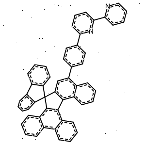 c1ccc(-c2cccc(-c3ccc(-c4cc5c(c6ccccc46)-c4c(c6ccccc6c6ccccc46)C54c5ccccc5-c5ccccc54)cc3)n2)nc1